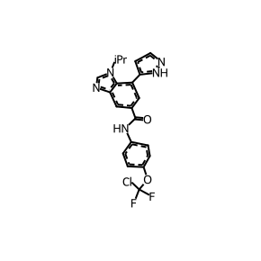 CC(C)n1cnc2cc(C(=O)Nc3ccc(OC(F)(F)Cl)cc3)cc(-c3ccn[nH]3)c21